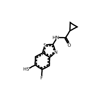 O=C(Nc1nc2cc(F)c(S)cc2s1)C1CC1